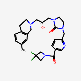 Cc1ccc2c(c1)CN(C[C@@H](O)CN1CCN(Cc3ccc(C(=O)N4CC(F)(F)C4)cn3)C1=O)CC2